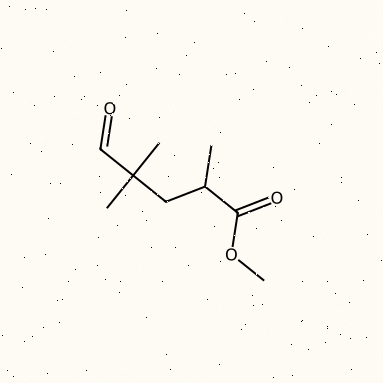 COC(=O)C(C)CC(C)(C)C=O